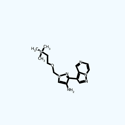 C[Si](C)(C)CCOCn1cc(N)c(-c2cnn3ccncc23)n1